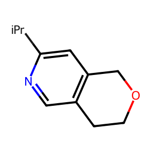 CC(C)c1cc2c(cn1)CCOC2